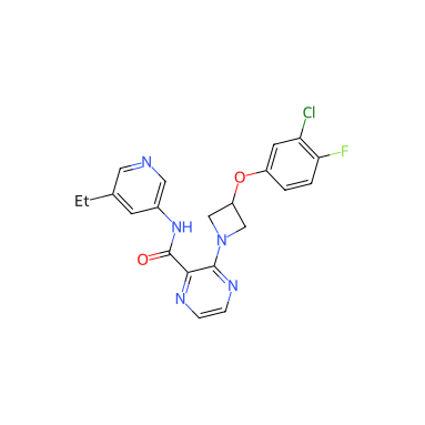 CCc1cncc(NC(=O)c2nccnc2N2CC(Oc3ccc(F)c(Cl)c3)C2)c1